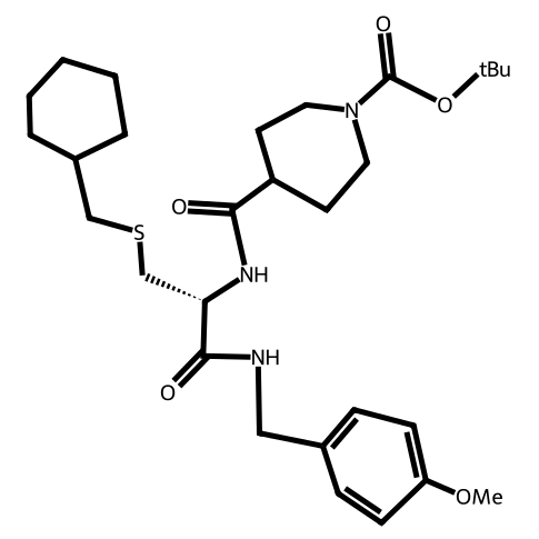 COc1ccc(CNC(=O)[C@H](CSCC2CCCCC2)NC(=O)C2CCN(C(=O)OC(C)(C)C)CC2)cc1